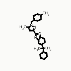 Cc1ccc(Cn2nc(-c3nc4cc(C(C)(C)c5ccccc5)ccc4o3)cc2C)cc1